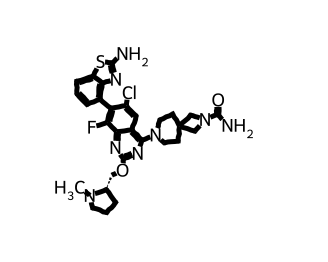 CN1CCC[C@H]1COc1nc(N2CCC3(CC2)CN(C(N)=O)C3)c2cc(Cl)c(-c3cccc4sc(N)nc34)c(F)c2n1